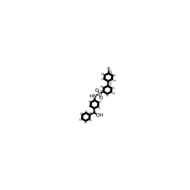 O=S(=O)(Nc1ccc(C(O)c2ccccc2)cc1)c1cccc(-c2ccc(F)cc2)c1